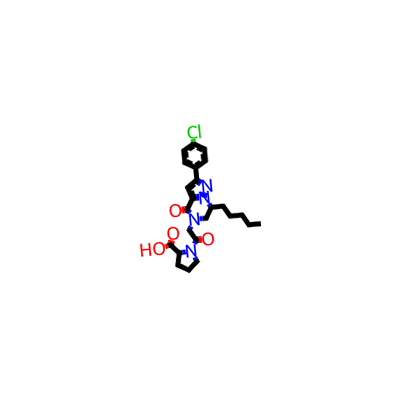 CCCCCC1CN(CC(=O)N2CCCC2C(=O)O)C(=O)c2cc(-c3ccc(Cl)cc3)nn21